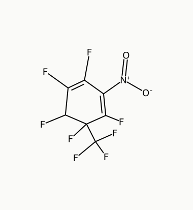 O=[N+]([O-])C1=C(F)C(F)(C(F)(F)F)C(F)C(F)=C1F